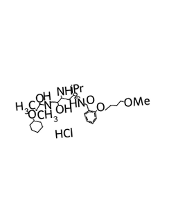 COCCCCOc1ccccc1C(=O)NCC(CC(N)C(O)CNC(=O)C(C)(C)OC1CCCCC1)C(C)C.Cl